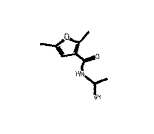 Cc1cc(C(=O)NC(C)C(C)C)c(C)o1